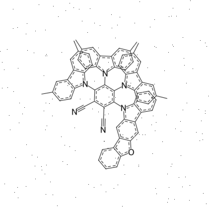 Cc1ccc2c(c1)c1cc(C)ccc1n2-c1c(C#N)c(C#N)c(-n2c3ccccc3c3cc4oc5ccccc5c4cc32)c(-n2c3ccc(C)cc3c3cc(C)ccc32)c1-n1c2ccc(C)cc2c2cc(C)ccc21